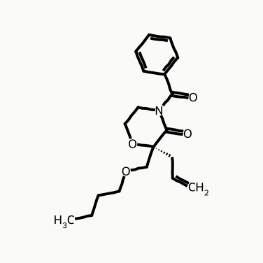 C=CC[C@]1(COCCCC)OCCN(C(=O)c2ccccc2)C1=O